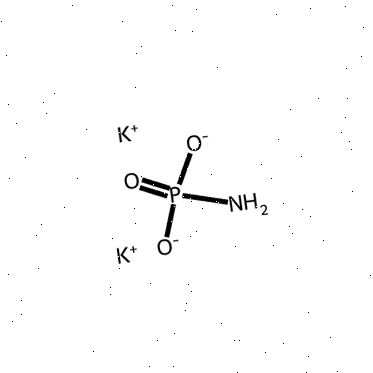 NP(=O)([O-])[O-].[K+].[K+]